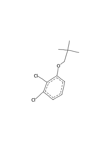 CC(C)(C)COc1cccc(Cl)c1Cl